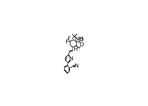 C[C@H]1OC(=O)[C@]2(NC(C)(C)C)CC(F)(F)[C@@H](C)[C@H](/C=C/c3ccc(-c4ccccc4C#N)cn3)[C@H]12